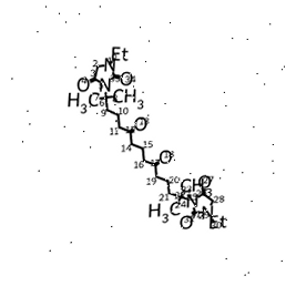 CCN1CC(=O)N(C(C)(C)CCCC(=O)CCCC(=O)CCCC(C)(C)N2C(=O)CN(CC)C2=O)C1=O